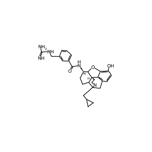 N=C(N)NCc1cccc(C(=O)N[C@@H]2CCC3C4Cc5ccc(O)c6c5[C@@]3(CCN4CC3CC3)C2O6)c1